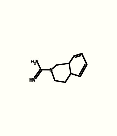 N=C(N)N1CCC2C=CC=CC2C1